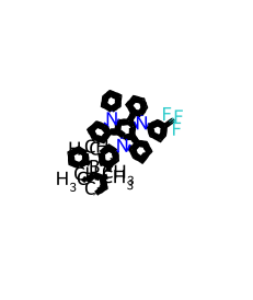 Cc1cccc(C)c1B(c1c(C)cccc1C)c1c(C)cc(-n2c3ccccc3c3c4c(c5ccccc5n4-c4cccc(C(F)(F)F)c4)c4c(c5ccccc5n4-c4ccccc4)c32)cc1C